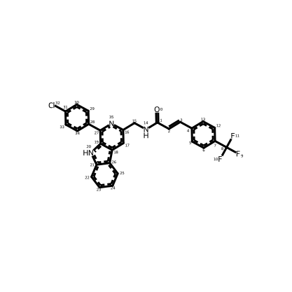 O=C(/C=C/c1ccc(C(F)(F)F)cc1)NCc1cc2c([nH]c3ccccc32)c(-c2ccc(Cl)cc2)n1